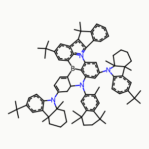 Cc1cc2c(cc1N1c3cc(N4c5ccc(C(C)(C)C)cc5C5(C)CCCCC45C)cc4c3B(C3=CC=C(N5c6ccc(C(C)(C)C)cc6C6(C)CCCCC56C)CC31)c1cc(C(C)(C)C)cc3c5c(n-4c13)-c1ccccc1C5(C)C)C(C)(C)CCC2(C)C